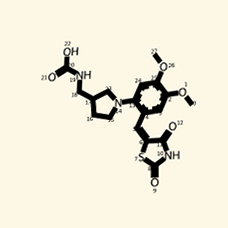 COc1cc(/C=C2/SC(=O)NC2=O)c(N2CCC(CNC(=O)O)C2)cc1OC